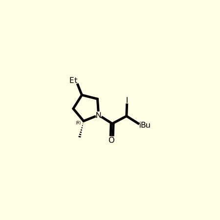 CCC1C[C@@H](C)N(C(=O)C(I)C(C)CC)C1